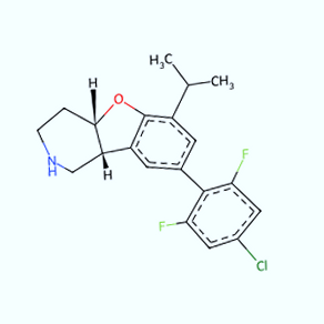 CC(C)c1cc(-c2c(F)cc(Cl)cc2F)cc2c1O[C@H]1CCNC[C@@H]21